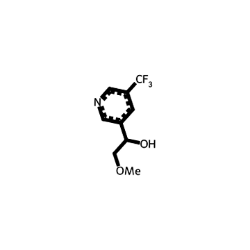 COCC(O)c1cncc(C(F)(F)F)c1